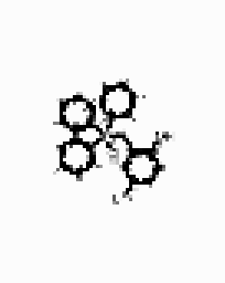 Oc1ccc(Br)cc1CP(Cl)(c1ccccc1)(c1ccccc1)c1ccccc1